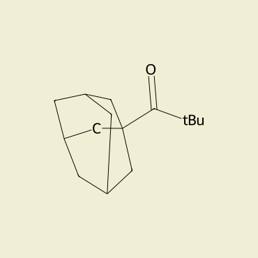 CC(C)(C)C(=O)C12CC3CC(CC(C3)C1)C2